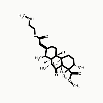 CNCCOC(=O)/C=C1\CC[C@H]2[C@@H]([C@@H](O)C(=O)[C@@H]3[C@]2(C)CC[C@H](O)[C@]3(C)C(=O)OC)[C@H]1C